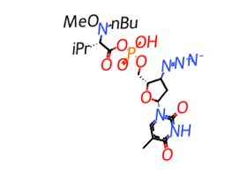 CCCCN(OC)[C@H](C(=O)OP(=O)(O)OC[C@H]1O[C@@H](n2cc(C)c(=O)[nH]c2=O)C[C@@H]1N=[N+]=[N-])C(C)C